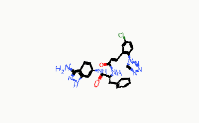 Nc1n[nH]c2cc(NC(=O)[C@H](Cc3ccccc3)NC(=O)/C=C/c3cc(Cl)ccc3-n3cnnn3)ccc12